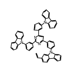 C=Cc1ccc2c3ccccc3n(-c3cccc(-c4cc(-c5cccc(-n6c7ccccc7c7ccccc76)c5)nc(-c5cccc(-n6c7ccccc7c7ccccc76)c5)n4)c3)c2c1